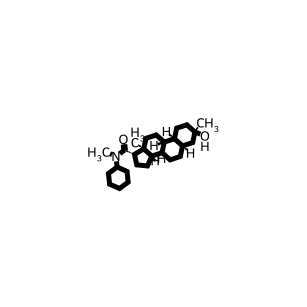 CN(C(=O)[C@H]1CC[C@H]2[C@@H]3CC[C@@H]4C[C@](C)(O)CC[C@@H]4[C@H]3CC[C@]12C)C1CCCCC1